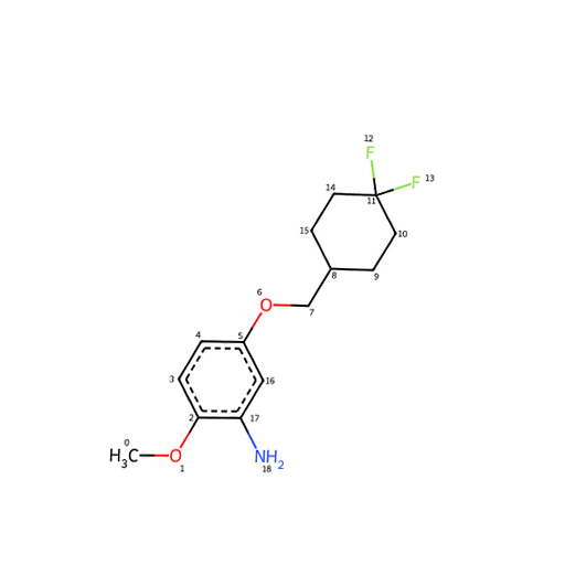 COc1ccc(OCC2CCC(F)(F)CC2)cc1N